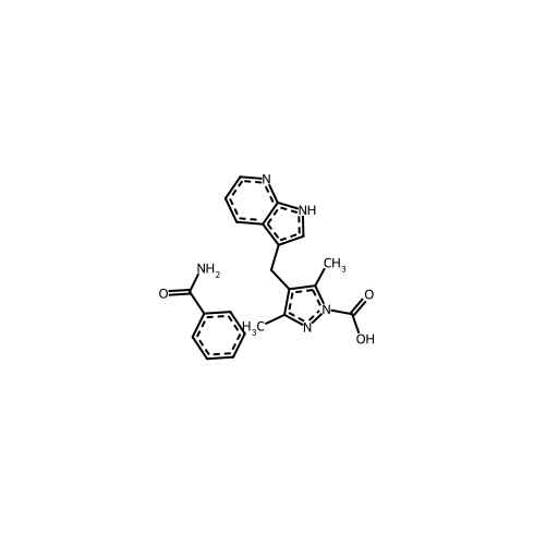 Cc1nn(C(=O)O)c(C)c1Cc1c[nH]c2ncccc12.NC(=O)c1ccccc1